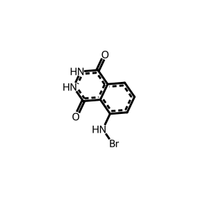 O=c1[nH][nH]c(=O)c2c(NBr)cccc12